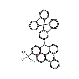 C[Si](C)(C)c1ccc(N(c2ccc3c(c2)-c2ccccc2C32c3ccccc3-c3ccccc32)c2cccc3c4ccccc4c4ccccc4c23)cc1